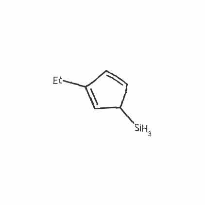 CCC1=CC([SiH3])C=C1